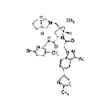 CC(=O)c1nn(CC(=O)N2[C@H]3[C@@H](C)[C@@]3(CN3C[C@H]4CCC[C@H]4C3)C[C@H]2C(=O)Nc2nc(Br)ccc2C)c2cnc(-c3cnc(C)nc3)cc12